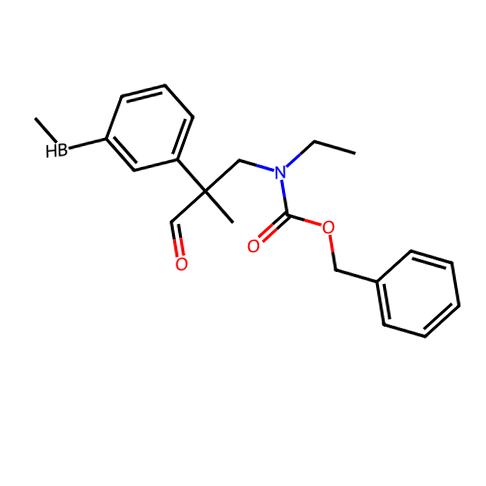 CBc1cccc(C(C)(C=O)CN(CC)C(=O)OCc2ccccc2)c1